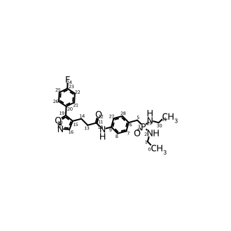 CCNP(=O)(Cc1ccc(NC(=O)CCc2cnoc2-c2ccc(F)cc2)cc1)NCC